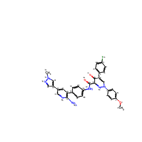 COc1ccc(-n2cc(-c3ccc(F)cc3)c(=O)c(C(=O)Nc3ccc(-c4cc(-c5cnn(C)c5)cnc4N)cc3)n2)cc1